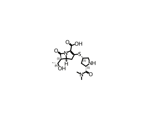 C[C@@H](O)[C@H]1C(=O)N2C(C(=O)O)=C(S[C@@H]3CN[C@H](C(=O)N(C)C)C3)C[C@H]12